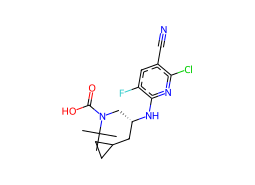 CC(C)(C)N(C[C@@H](CC1CC1)Nc1nc(Cl)c(C#N)cc1F)C(=O)O